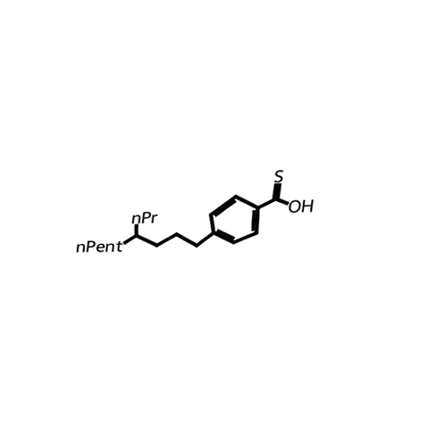 CCCCCC(CCC)CCCc1ccc(C(O)=S)cc1